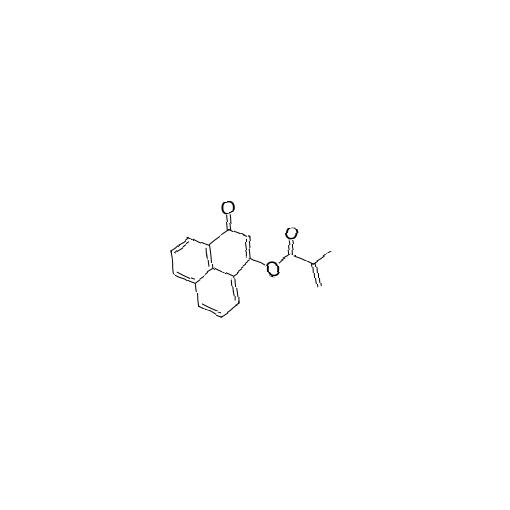 C=C(C)C(=O)OC1=CC(=O)c2cccc3cccc1c23